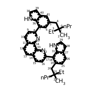 CCCC(C)(CC)Cc1cc(-c2ccc3ccc4ccc(-c5c(CC(C)(CC)CCC)ccc6cc[nH]c56)nc4c3n2)c2[nH]ccc2c1